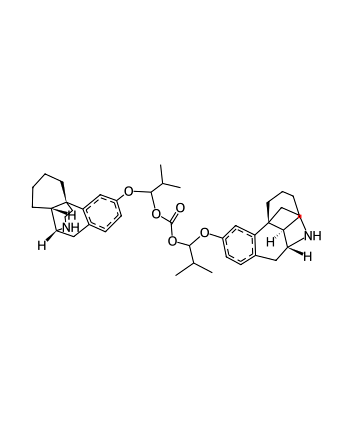 CC(C)C(OC(=O)OC(Oc1ccc2c(c1)[C@@]13CCCC[C@H]1[C@@H](C2)NCC3)C(C)C)Oc1ccc2c(c1)[C@@]13CCCC[C@H]1[C@@H](C2)NCC3